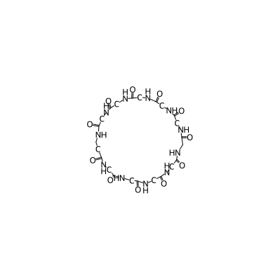 O=C1CCNC(=O)CNC(=O)CNC(=O)CNC(=O)CNC(=O)CNC(=O)CNC(=O)CNC(=O)CNC(=O)CNC(=O)CN1